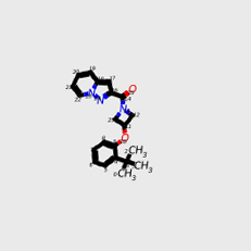 CC(C)(C)c1ccccc1OC1CN(C(=O)c2cc3ccccn3n2)C1